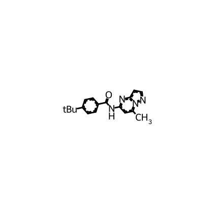 Cc1cc(NC(=O)c2ccc(C(C)(C)C)cc2)nc2ccnn12